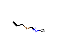 C=CCS/C=N/C#N